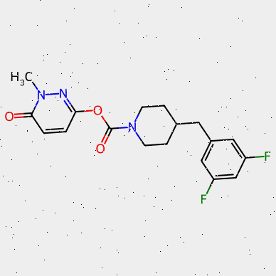 Cn1nc(OC(=O)N2CCC(Cc3cc(F)cc(F)c3)CC2)ccc1=O